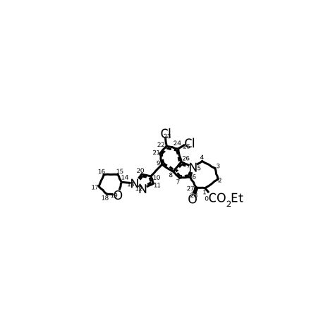 CCOC(=O)C1CCCn2c(cc3c(-c4cnn(C5CCCCO5)c4)cc(Cl)c(Cl)c32)C1=O